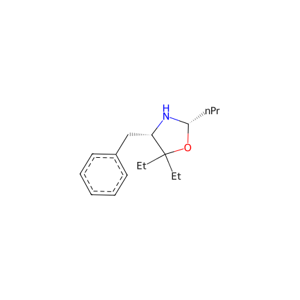 CCC[C@H]1N[C@@H](Cc2ccccc2)C(CC)(CC)O1